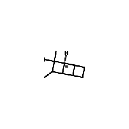 CC1C2C3CCC3[C@@H]2C1(C)I